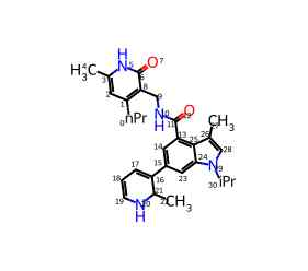 CCCc1cc(C)[nH]c(=O)c1CNC(=O)c1cc(C2=CC=CNC2C)cc2c1c(C)cn2C(C)C